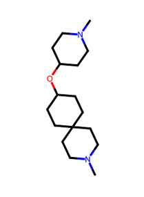 CN1CCC(OC2CCC3(CC2)CCN(C)CC3)CC1